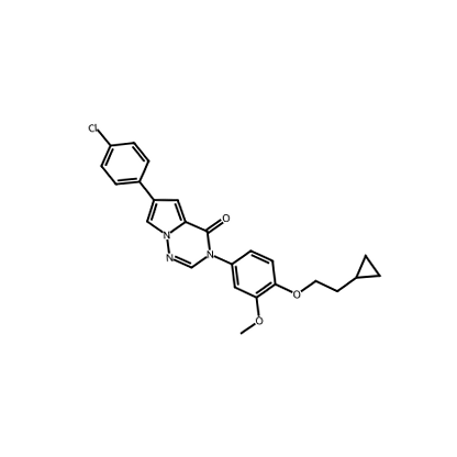 COc1cc(-n2cnn3cc(-c4ccc(Cl)cc4)cc3c2=O)ccc1OCCC1CC1